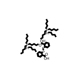 CCCCC[PH](CCCCC)(CCCCC)CCCCC.CCCCC[PH](CCCCC)(CCCCC)CCCCC.O=C(O)c1ccccc1SSc1ccccc1C(=O)O